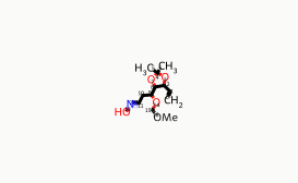 C=CC1OC(C)(C)OC1C(C/C=N/O)OCOC